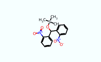 C[Si](C)(C)OC(c1ccccc1[N+](=O)[O-])c1ccccc1[N+](=O)[O-]